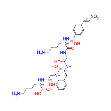 NCCCC[C@H](N[C@@H](O)c1ccc(/C=C/[N+](=O)[O-])cc1)C(=O)NC[C@H](O)N[C@@H](Cc1ccccc1)[C@@H](O)NC[C@H](O)N[C@@H](CCCCN)C(O)O